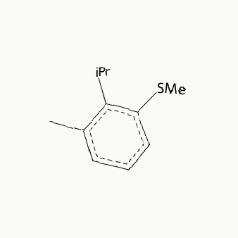 CSc1cccc(C)c1C(C)C